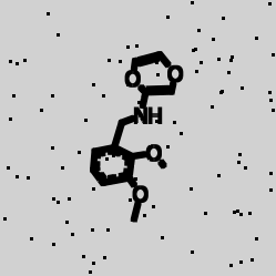 COc1cccc(CNC2=COC=CO2)c1OC